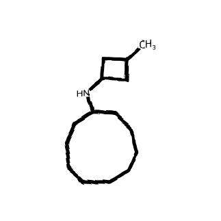 CC1CC(NC2CCCCCCCCC2)C1